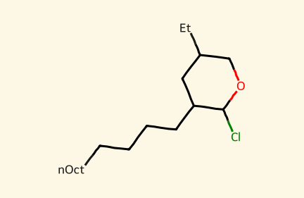 CCCCCCCCCCCCC1CC(CC)COC1Cl